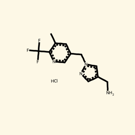 Cc1cc(Cn2cc(CN)cn2)cnc1C(F)(F)F.Cl